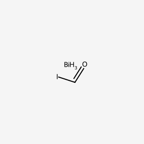 O=CI.[BiH3]